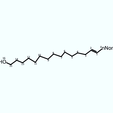 CCCCCCCCCC=CCCCCCCCCCCCCCO